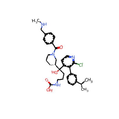 CNCc1ccc(C(=O)N2CCC[C@@H]([C@@](O)(CCCNC(=O)O)c3ccnc(Cl)c3-c3cccc(C(C)C)c3)C2)cc1